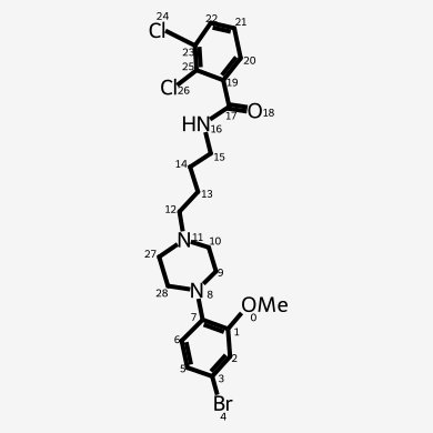 COc1cc(Br)ccc1N1CCN(CCCCNC(=O)c2cccc(Cl)c2Cl)CC1